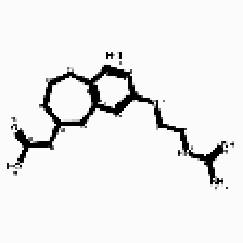 Cl.N=C(N)NCCOc1ccc2c(c1)CC(CC(=O)O)CCC2